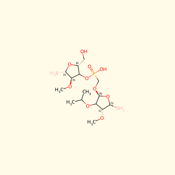 B[C@@H]1O[C@H](OCP(=O)(O)OC2[C@@H](OC)[C@H](B)O[C@@H]2CO)C(OC(C)C)[C@H]1OC